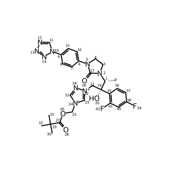 C[C@@H](N1CCN(c2ccc(-n3cnnn3)cc2)C1=O)[C@](O)(C[n+]1cn(COC(=O)C(C)(C)C)cn1)c1ccc(F)cc1F